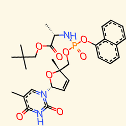 Cc1cn([C@H]2C=C[C@@](C)(CO[P@](=O)(N[C@@H](C)C(=O)OCC(C)(C)C)Oc3cccc4ccccc34)O2)c(=O)[nH]c1=O